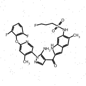 Cc1cc2cc(C(=O)c3cnn(-c4cnc(Oc5c(F)cccc5F)cc4C)c3N)[nH]c2cc1NS(=O)(=O)CCCF